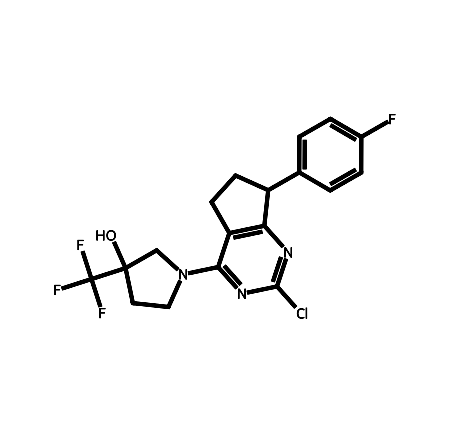 OC1(C(F)(F)F)CCN(c2nc(Cl)nc3c2CCC3c2ccc(F)cc2)C1